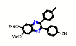 COc1cc2nc(-c3ccc(C)cc3)c(-c3ccc(C#N)cc3)nc2cc1OC